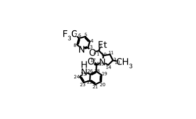 CCC(Oc1ccc(C(F)(F)F)cn1)C1CC(C)CN1C(=O)c1cccc2cc[nH]c12